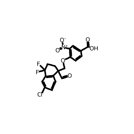 O=CC1(COc2ccc(C(=O)O)cc2[N+](=O)[O-])CCC(F)(F)c2cc(Cl)ccc21